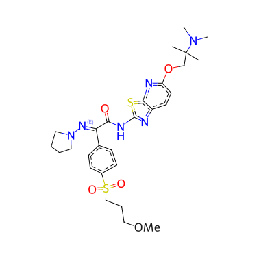 COCCCS(=O)(=O)c1ccc(/C(=N\N2CCCC2)C(=O)Nc2nc3ccc(OCC(C)(C)N(C)C)nc3s2)cc1